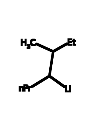 [Li][CH](CCC)C(C)CC